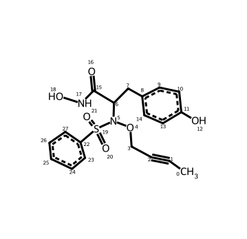 CC#CCON(C(Cc1ccc(O)cc1)C(=O)NO)S(=O)(=O)c1ccccc1